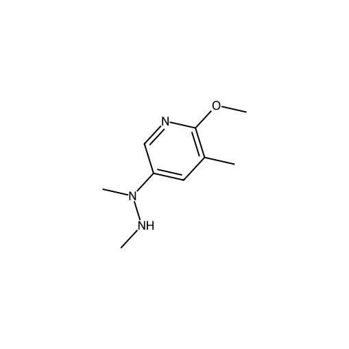 CNN(C)c1cnc(OC)c(C)c1